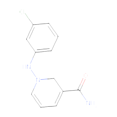 NC(=O)C1=CC=CN(Nc2cccc(Cl)c2)C1